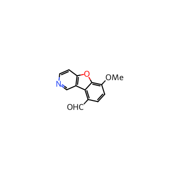 COc1ccc(C=O)c2c1oc1ccncc12